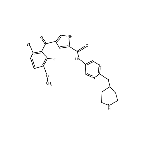 COc1ccc(Cl)c(C(=O)c2c[nH]c(C(=O)Nc3cnc(CC4CCNCC4)nc3)c2)c1F